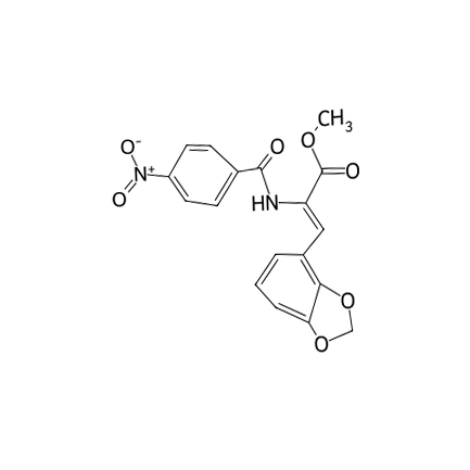 COC(=O)C(=Cc1cccc2c1OCO2)NC(=O)c1ccc([N+](=O)[O-])cc1